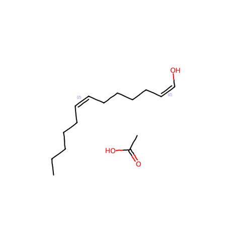 CC(=O)O.CCCCC/C=C\CCCC/C=C\O